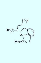 CN[C@H](C)C1OCCc2cccc(F)c21.O=C(O)CCCC(=O)O